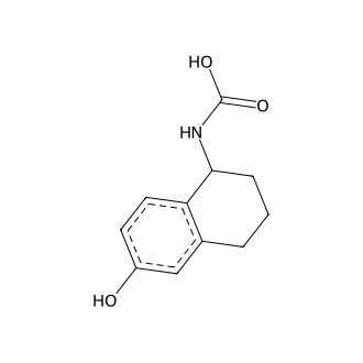 O=C(O)NC1CCCc2cc(O)ccc21